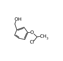 CC(Cl)Oc1cccc(CO)c1